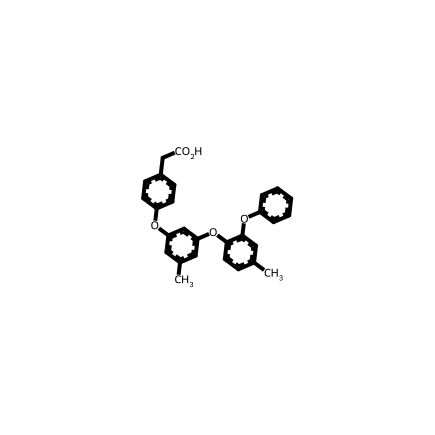 Cc1cc(Oc2ccc(CC(=O)O)cc2)cc(Oc2ccc(C)cc2Oc2ccccc2)c1